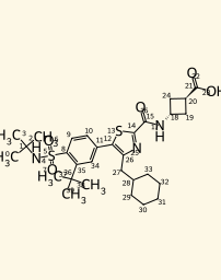 CC(C)(C)NS(=O)(=O)c1ccc(-c2sc(C(=O)N[C@H]3C[C@H](C(=O)O)C3)nc2CC2CCCCC2)cc1C(C)(C)C